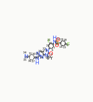 CC(C)N1C(=O)N(c2ccc(NS(=O)(=O)c3ccc(F)cc3)c(F)c2)Cc2cnc(NC3CCC(N(C)C)CC3)nc21